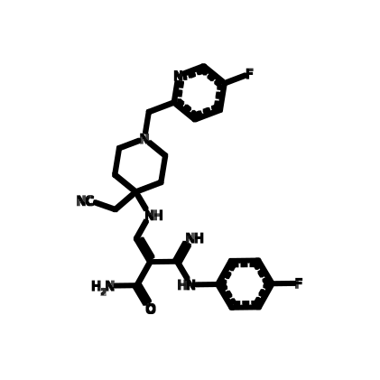 N#CCC1(N/C=C(\C(=N)Nc2ccc(F)cc2)C(N)=O)CCN(Cc2ccc(F)cn2)CC1